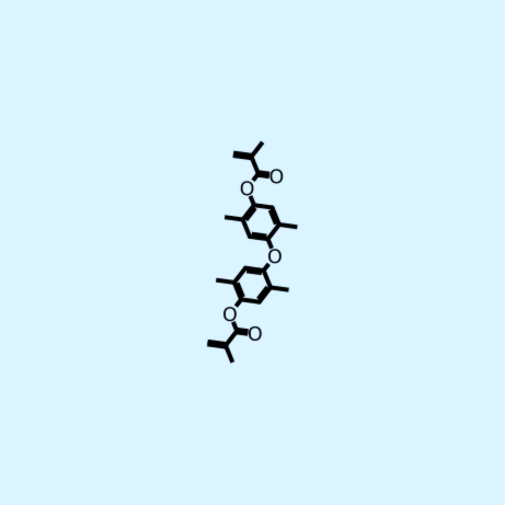 C=C(C)C(=O)Oc1cc(C)c(Oc2cc(C)c(OC(=O)C(=C)C)cc2C)cc1C